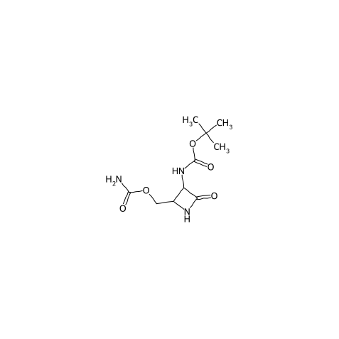 CC(C)(C)OC(=O)NC1C(=O)NC1COC(N)=O